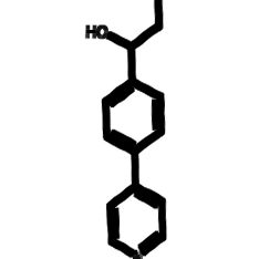 OC(CF)c1ccc(-c2ccncc2)cc1